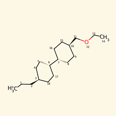 CCC[C@H]1CC[C@H]([C@H]2CC[C@H](COCC)CC2)CC1